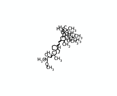 C=C1/C(=C\C=C2/CCC[C@]3(C)[C@@H]([C@@H](C)/C=C/C(=O)N(C)COC)CC[C@@H]23)C[C@@H](O[Si](C)(C)C(C)(C)C)C[C@@H]1O[Si](C)(C)C(C)(C)C